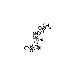 COC(=O)Oc1cn2ncnc(Nc3ccc(NS(=O)(=O)c4ccccc4)c(O)c3)c2c1C